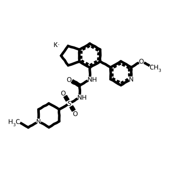 CCN1CCC(S(=O)(=O)NC(=O)Nc2c(-c3ccnc(OC)c3)ccc3c2CCC3)CC1.[K]